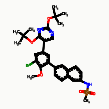 COc1c(Br)cc(-c2cnc(OC(C)(C)C)nc2OC(C)(C)C)cc1-c1ccc2cc(NS(C)(=O)=O)ccc2c1